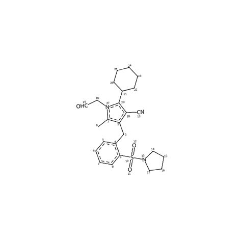 Cc1c(Cc2ccccc2S(=O)(=O)N2CCCC2)c(C#N)c(C2CCCCC2)n1CC=O